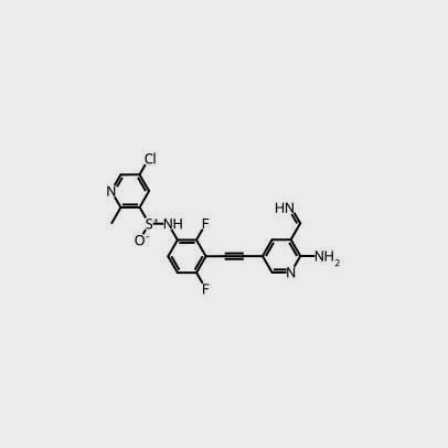 Cc1ncc(Cl)cc1[S+]([O-])Nc1ccc(F)c(C#Cc2cnc(N)c(C=N)c2)c1F